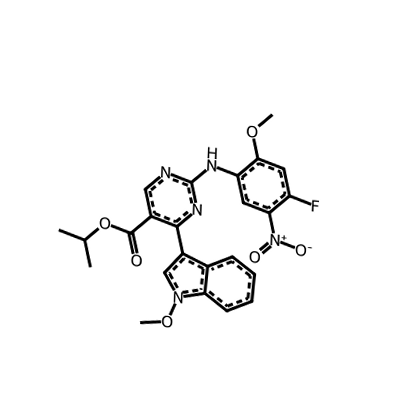 COc1cc(F)c([N+](=O)[O-])cc1Nc1ncc(C(=O)OC(C)C)c(-c2cn(OC)c3ccccc23)n1